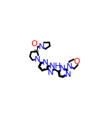 O=C([C@@H]1CCCN(c2ccc3nc(-c4ccnc(N5CCOCC5)n4)[nH]c3n2)C1)N1CCCC1